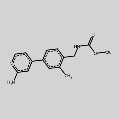 Cc1cc(-c2ccnc(N)c2)ccc1CNC(=O)OC(C)(C)C